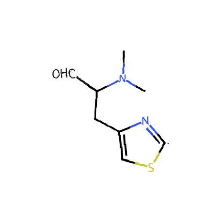 CN(C)C(C=O)Cc1cs[c]n1